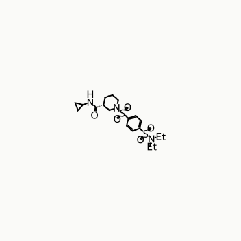 CCN(CC)S(=O)(=O)c1ccc(S(=O)(=O)N2CCC[C@@H](C(=O)NC3CC3)C2)cc1